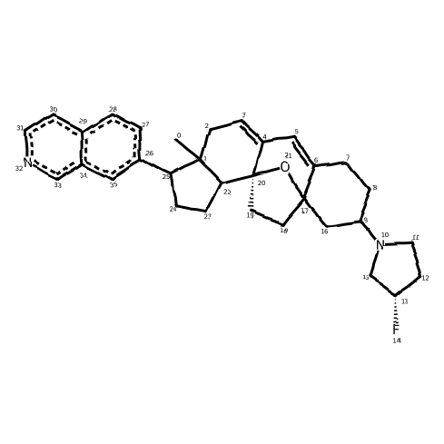 CC12CC=C3C=C4CCC(N5CC[C@H](F)C5)CC45CC[C@]3(O5)C1CCC2c1ccc2ccncc2c1